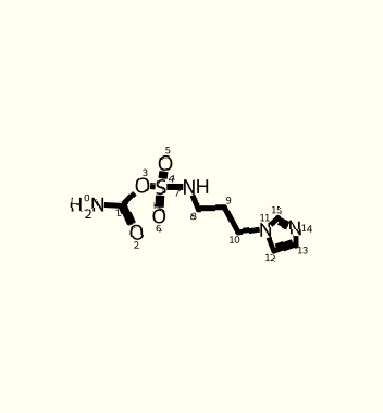 NC(=O)OS(=O)(=O)NCCCn1ccnc1